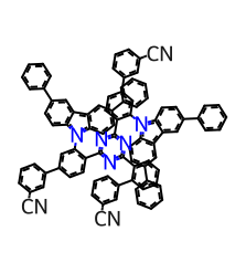 N#Cc1cccc(-c2ccc(-c3nc(-c4ccccc4-c4cccc(C#N)c4)nc(-c4ccc(-c5cccc(C#N)c5)cc4-n4c5ccc(-c6ccccc6)cc5c5cc(-c6ccccc6)ccc54)n3)c(-n3c4ccc(-c5ccccc5)cc4c4cc(-c5ccccc5)ccc43)c2)c1